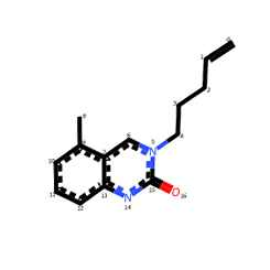 C=CCCCn1cc2c(C)cccc2nc1=O